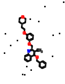 Cc1c(COc2cccc(OCCC3CCOCC3)c2)nc2ccccc2c1OCc1ccccc1